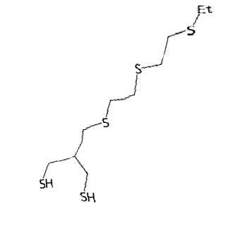 CCSCCSCCSCC(CS)CS